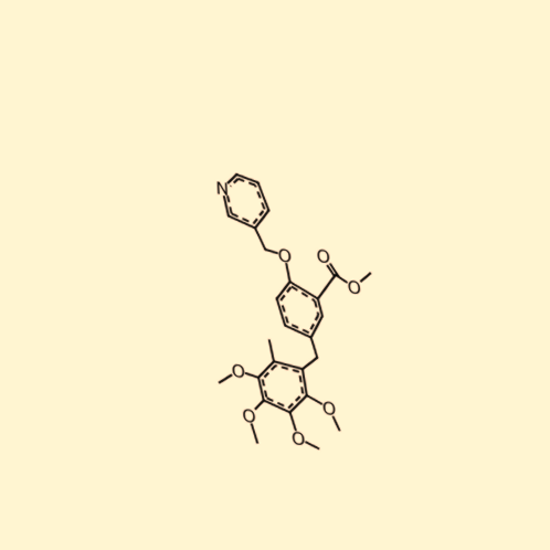 COC(=O)c1cc(Cc2c(C)c(OC)c(OC)c(OC)c2OC)ccc1OCc1cccnc1